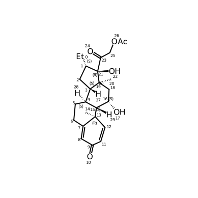 CC[C@H]1C[C@H]2[C@@H]3CCC4=CC(=O)C=C[C@]4(C)[C@H]3[C@@H](O)C[C@]2(C)[C@@]1(O)C(=O)COC(C)=O